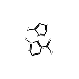 Clc1ccccn1.O=C(O)c1ccc[n+]([O-])c1